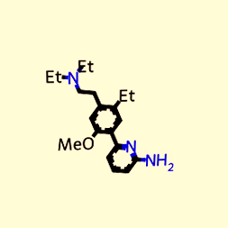 CCc1cc(-c2cccc(N)n2)c(OC)cc1CCN(CC)CC